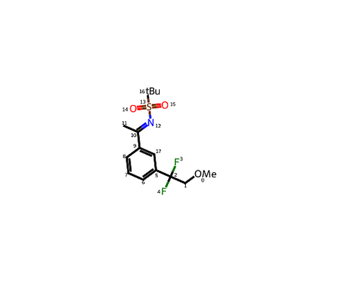 COCC(F)(F)c1cccc(/C(C)=N/S(=O)(=O)C(C)(C)C)c1